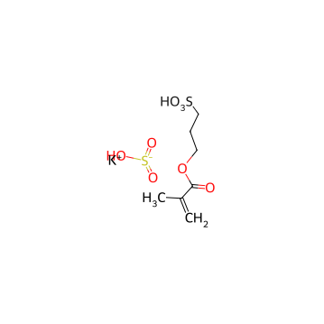 C=C(C)C(=O)OCCCS(=O)(=O)O.O=[S-](=O)O.[K+]